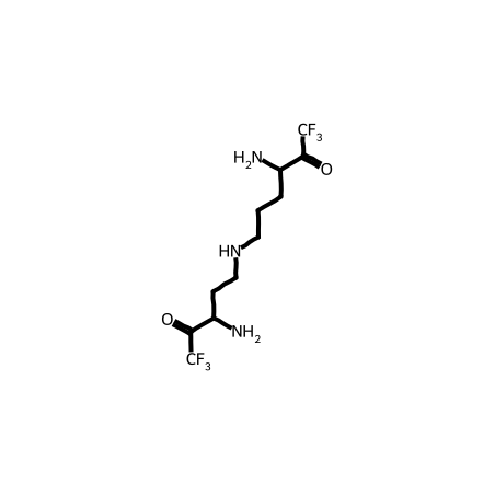 NC(CCCNCCC(N)C(=O)C(F)(F)F)C(=O)C(F)(F)F